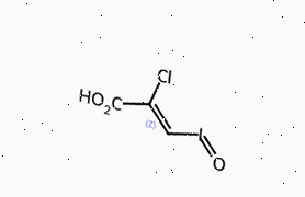 O=I/C=C(\Cl)C(=O)O